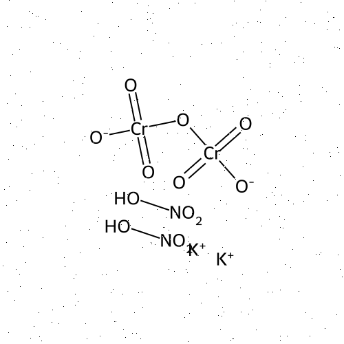 O=[N+]([O-])O.O=[N+]([O-])O.[K+].[K+].[O]=[Cr](=[O])([O-])[O][Cr](=[O])(=[O])[O-]